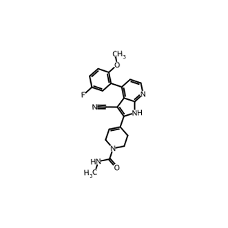 CNC(=O)N1CC=C(c2[nH]c3nccc(-c4cc(F)ccc4OC)c3c2C#N)CC1